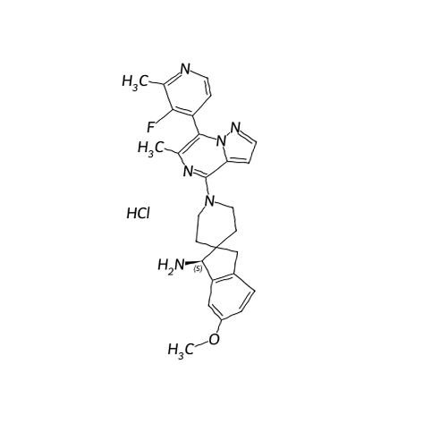 COc1ccc2c(c1)[C@@H](N)C1(CCN(c3nc(C)c(-c4ccnc(C)c4F)n4nccc34)CC1)C2.Cl